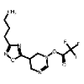 CCCCc1noc(C2CN=CN(OC(=O)C(F)(F)F)C2)n1